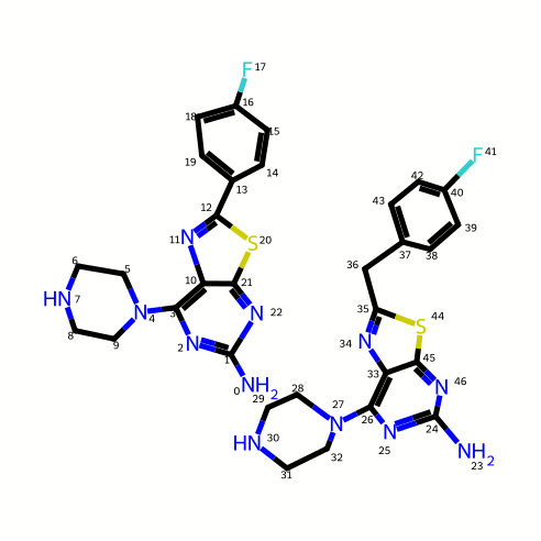 Nc1nc(N2CCNCC2)c2nc(-c3ccc(F)cc3)sc2n1.Nc1nc(N2CCNCC2)c2nc(Cc3ccc(F)cc3)sc2n1